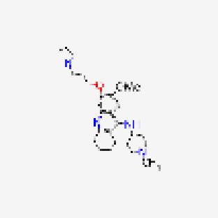 COc1cc2c(NC3CCN(C)CC3)c3c(nc2cc1OCCCN1CCCC1)CCCC3